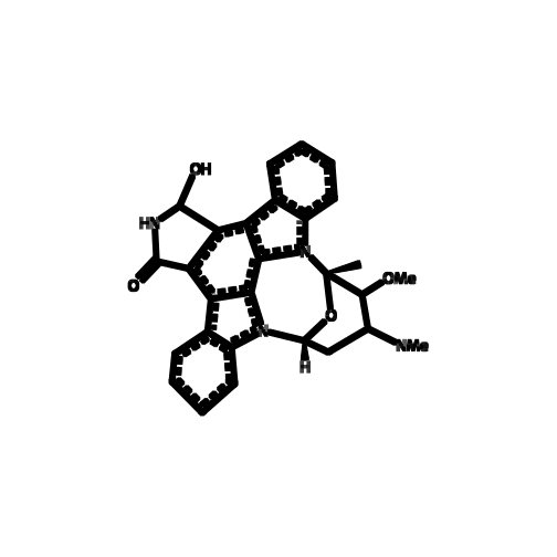 CNC1C[C@H]2O[C@@](C)(C1OC)n1c3ccccc3c3c4c(c5c6ccccc6n2c5c31)C(=O)NC4O